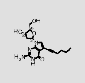 CCCCC#Cc1cn([C@@H]2C[C@H](O)[C@@H](CO)O2)c2nc(N)[nH]c(=O)c12